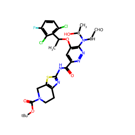 CB(O)N(BC=O)c1nnc(C(=O)Nc2nc3c(s2)CN(C(=O)OC(C)(C)C)CC3)cc1OC(C)c1c(Cl)ccc(F)c1Cl